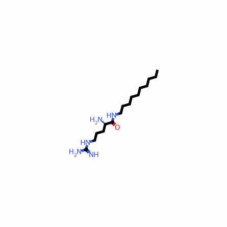 CCCCCCCCCCNC(=O)[C@H](N)CCCNC(=N)N